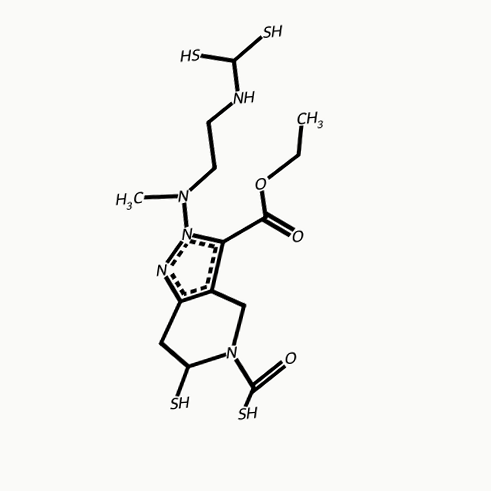 CCOC(=O)c1c2c(nn1N(C)CCNC(S)S)CC(S)N(C(=O)S)C2